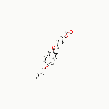 CCCCOc1ccc2cc(OCCCCOC=O)ccc2c1